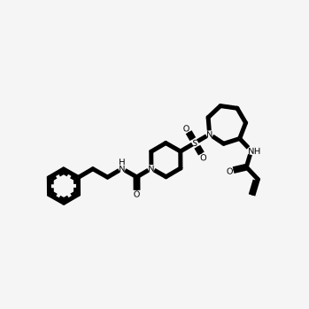 C=CC(=O)NC1CCCCN(S(=O)(=O)C2CCN(C(=O)NCCc3ccccc3)CC2)C1